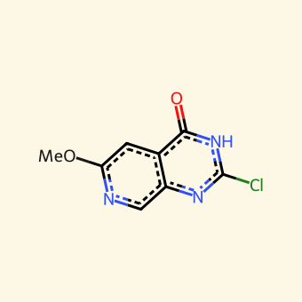 COc1cc2c(=O)[nH]c(Cl)nc2cn1